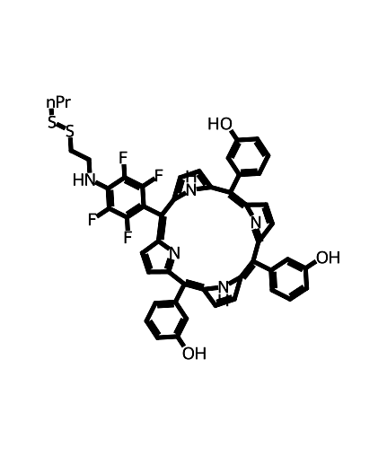 CCCSSCCNc1c(F)c(F)c(-c2c3nc(c(-c4cccc(O)c4)c4ccc([nH]4)c(-c4cccc(O)c4)c4nc(c(-c5cccc(O)c5)c5ccc2[nH]5)C=C4)C=C3)c(F)c1F